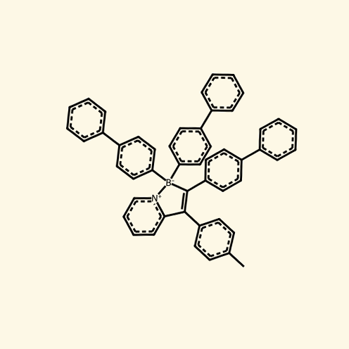 Cc1ccc(C2=C(c3ccc(-c4ccccc4)cc3)[B-](c3ccc(-c4ccccc4)cc3)(c3ccc(-c4ccccc4)cc3)[n+]3ccccc32)cc1